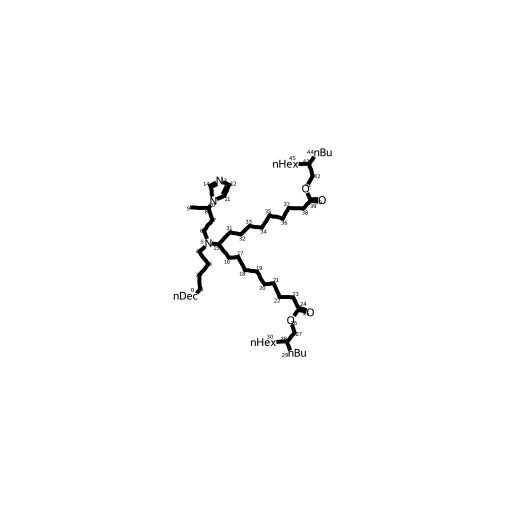 CCCCCCCCCCCCCCN(CCC(C)n1ccnc1)C(CCCCCCCCC(=O)OCC(CCCC)CCCCCC)CCCCCCCCC(=O)OCC(CCCC)CCCCCC